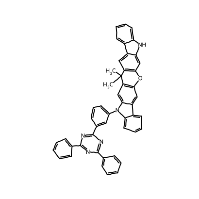 CC1(C)c2cc3c(cc2Oc2cc4c5ccccc5n(-c5cccc(-c6nc(-c7ccccc7)nc(-c7ccccc7)n6)c5)c4cc21)[nH]c1ccccc13